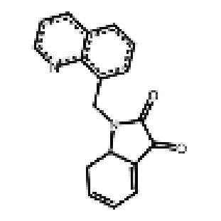 O=C1C(=O)N(Cc2cccc3cccnc23)C2CC=CC=C12